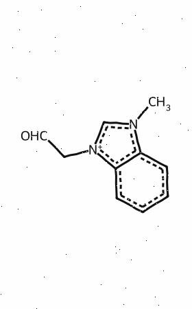 Cn1c[n+](CC=O)c2ccccc21